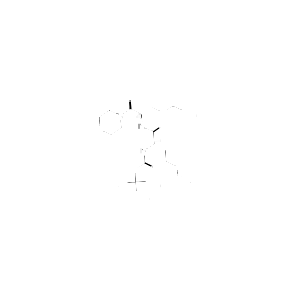 CCOC[C@H](NC(=O)[C@H](CCSC)NC(=O)OC(C)(C)C)C(=O)N1CCOCC1